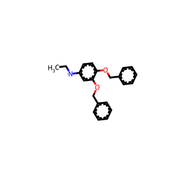 CC[N]c1ccc(OCc2ccccc2)c(OCc2ccccc2)c1